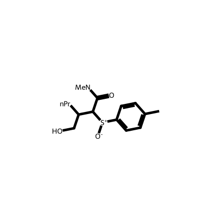 CCCC(CO)C(C(=O)NC)[S+]([O-])c1ccc(C)cc1